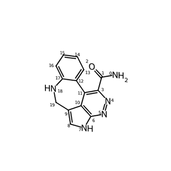 NC(=O)c1nnc2[nH]cc3c2c1-c1ccccc1NC3